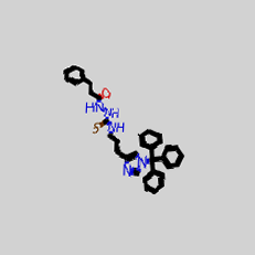 O=C(CCc1ccccc1)NNC(=S)NCCCc1cn(C(c2ccccc2)(c2ccccc2)c2ccccc2)cn1